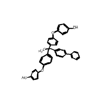 CC(c1ccc(Oc2ccc(O)cc2)cc1)(c1ccc(Oc2ccc(O)cc2)cc1)c1ccc(-c2ccccc2)cc1